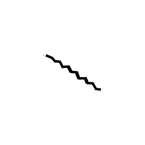 [CH2]CCCC/C=C/C=C/C=C/CCC